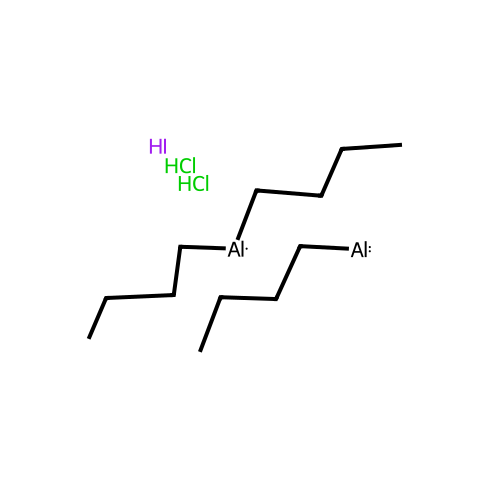 CCC[CH2][Al].CCC[CH2][Al][CH2]CCC.Cl.Cl.I